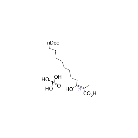 CCCCCCCCCCCCCCCCCC/C(O)=C(\C)C(=O)O.O=P(O)(O)O